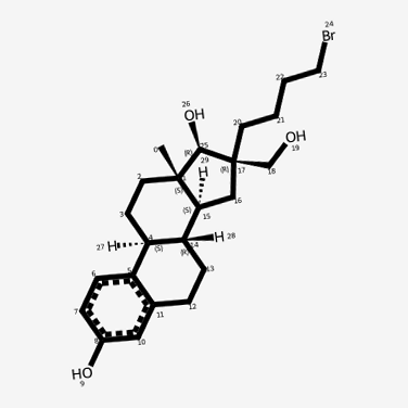 C[C@]12CC[C@@H]3c4ccc(O)cc4CC[C@H]3[C@@H]1C[C@@](CO)(CCCCBr)[C@@H]2O